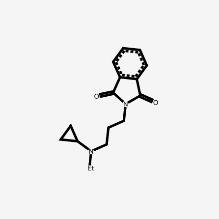 CCN(CCCN1C(=O)c2ccccc2C1=O)C1CC1